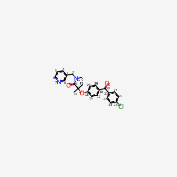 CN(Cc1cccnc1)C(=O)C(C)(C)Oc1ccc(C(=O)c2ccc(Cl)cc2)cc1